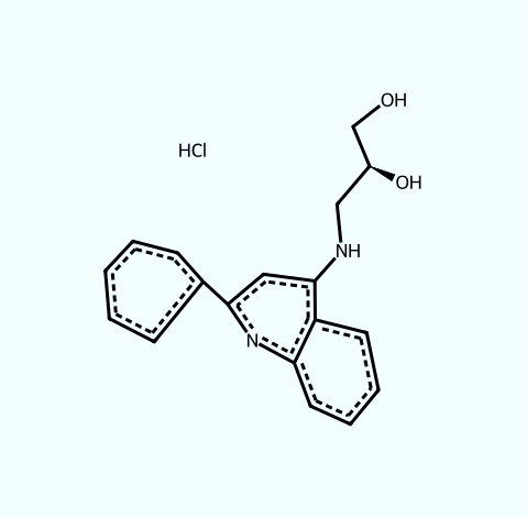 Cl.OC[C@@H](O)CNc1cc(-c2ccccc2)nc2ccccc12